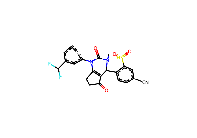 CN1C(=O)N(c2cccc(C(F)F)c2)C2=C(C(=O)CC2)C1c1ccc(C#N)cc1[SH](=O)=O